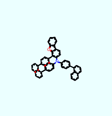 c1ccc(-c2ccc(-c3c(N(c4ccc(-c5ccccc5)cc4)c4ccc(-c5cccc6ccccc56)cc4)ccc4c3oc3ccccc34)cc2)cc1